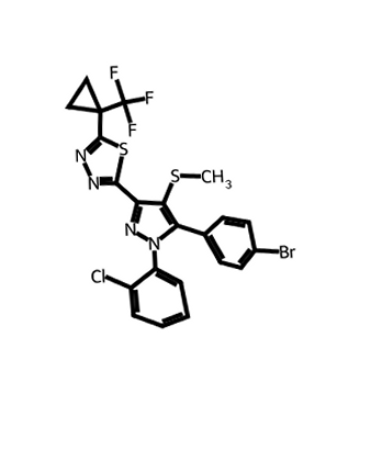 CSc1c(-c2nnc(C3(C(F)(F)F)CC3)s2)nn(-c2ccccc2Cl)c1-c1ccc(Br)cc1